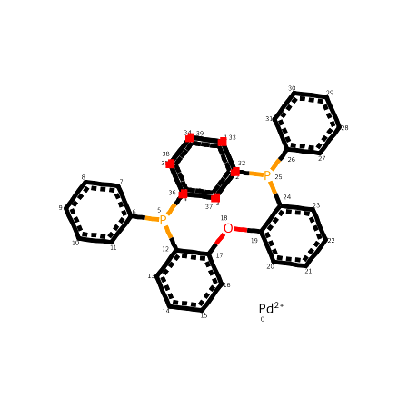 [Pd+2].c1ccc(P(c2ccccc2)c2ccccc2Oc2ccccc2P(c2ccccc2)c2ccccc2)cc1